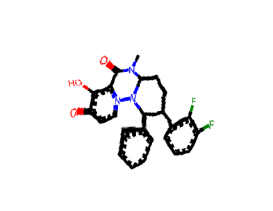 CN1C(=O)c2c(O)c(=O)ccn2N2C(c3ccccc3)C(c3cccc(F)c3F)CCC12